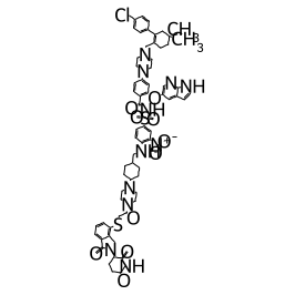 CC1(C)CCC(CN2CCN(c3ccc(C(=O)NS(=O)(=O)c4ccc(NCC5CCC(N6CCN(C(=O)CSc7cccc8c7CN(C7CCC(=O)NC7=O)C8=O)CC6)CC5)c([N+](=O)[O-])c4)c(Oc4cnc5[nH]ccc5c4)c3)CC2)=C(c2ccc(Cl)cc2)C1